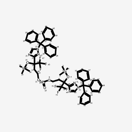 C[Si](C)(C)OC(CCO[PH](=O)OCCC(O[Si](C)(C)C)(c1ncn(C(c2ccccc2)(c2ccccc2)c2ccccc2)n1)C(F)(F)F)(c1ncn(C(c2ccccc2)(c2ccccc2)c2ccccc2)n1)C(F)(F)F